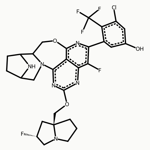 Oc1cc(Cl)c(C(F)(F)F)c(-c2nc3c4c(nc(OC[C@@]56CCCN5C[C@H](F)C6)nc4c2F)N2CC4CCC(N4)C2CO3)c1